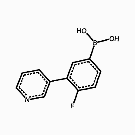 OB(O)c1ccc(F)c(-c2cccnc2)c1